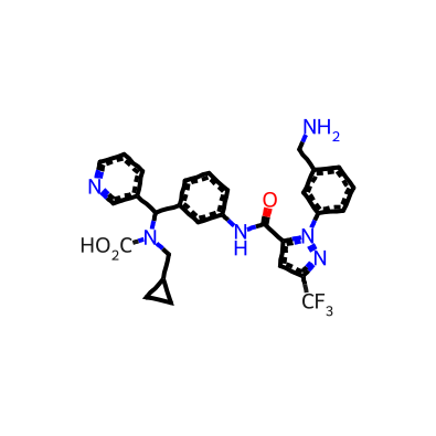 NCc1cccc(-n2nc(C(F)(F)F)cc2C(=O)Nc2cccc(C(c3cccnc3)N(CC3CC3)C(=O)O)c2)c1